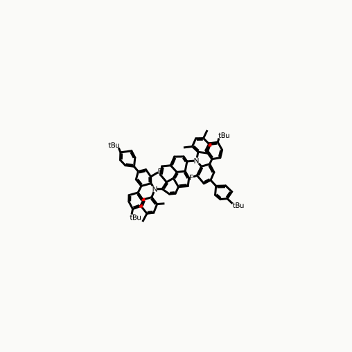 Cc1ccc(N(c2c(F)cc(-c3ccc(C(C)(C)C)cc3)cc2-c2ccc(C(C)(C)C)cc2)c2ccc3ccc4c(N(c5ccc(C)cc5C)c5c(F)cc(-c6ccc(C(C)(C)C)cc6)cc5-c5ccc(C(C)(C)C)cc5)ccc5ccc2c3c54)c(C)c1